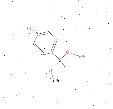 CCCO[Si](C)(OCCC)c1ccc(Cl)cc1